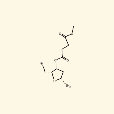 [2H]C[C@H]1O[C@@H](B)C[C@H]1OC(=O)CCC(=O)OC